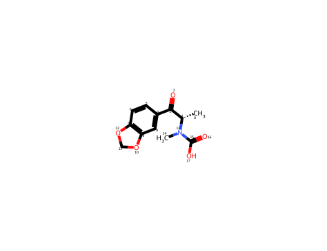 C[C@@H](C(=O)c1ccc2c(c1)OCO2)N(C)C(=O)O